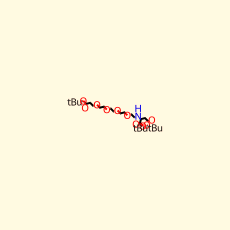 CC(C)(C)OC(=O)CCOCCOCCOCCOCCNC(CC(=O)OC(C)(C)C)C(=O)OC(C)(C)C